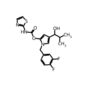 CC(C)C(O)c1cc(OC(=O)Nc2nccs2)n(Cc2ccc(F)c(F)c2)c1